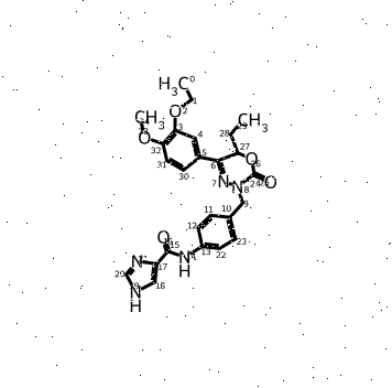 CCOc1cc(C2=NN(Cc3ccc(NC(=O)c4c[nH]cn4)cc3)C(=O)OC2CC)ccc1OC